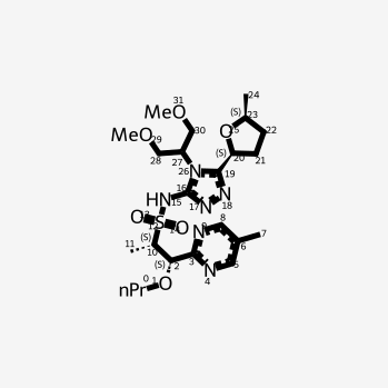 CCCO[C@@H](c1ncc(C)cn1)[C@H](C)S(=O)(=O)Nc1nnc([C@@H]2CC[C@H](C)O2)n1C(COC)COC